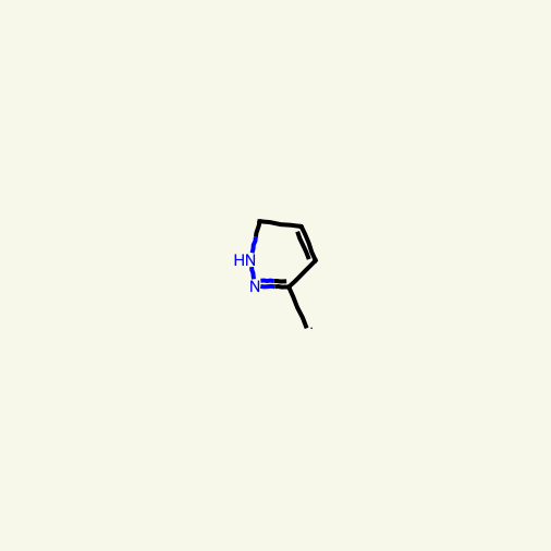 [CH2]C1=NNCC=C1